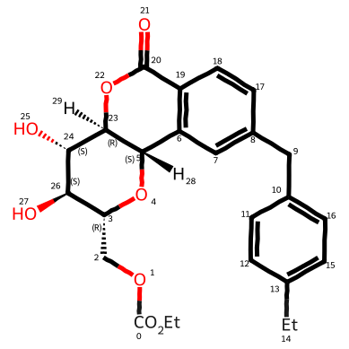 CCOC(=O)OC[C@H]1O[C@H]2c3cc(Cc4ccc(CC)cc4)ccc3C(=O)O[C@@H]2[C@@H](O)[C@@H]1O